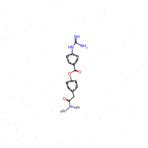 CCCN(CCC)C(=O)Cc1ccc(OC(=O)c2ccc(NC(=N)N)cc2)cc1